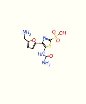 NCc1ccc(-c2nc(S(=O)(=O)O)sc2NC(N)=O)o1